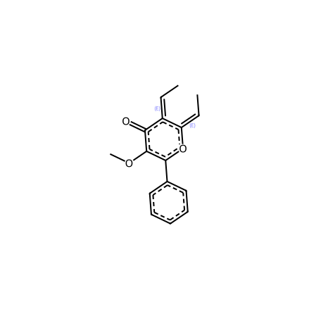 C/C=c1/oc(-c2ccccc2)c(OC)c(=O)/c1=C/C